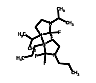 CCCN1CC[N+](CCC)([N+]2(C(C)C)CCN(C(C)C)C2(F)F)C1(F)F